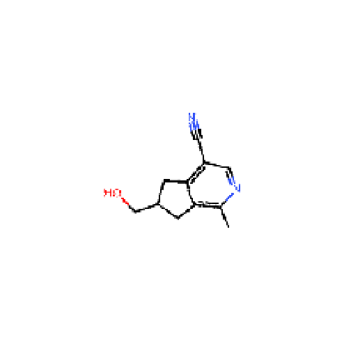 Cc1ncc(C#N)c2c1CC(CO)C2